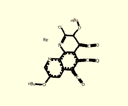 CCCCOc1cnc2c3c(c(=C=O)c(=C=O)c2c1)C(=C=O)C(OCCCC)C(Cl)=N3.[Re]